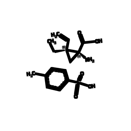 C=C[C@]1(CC)C[C@]1(N)C(=O)O.Cc1ccc(S(=O)(=O)O)cc1